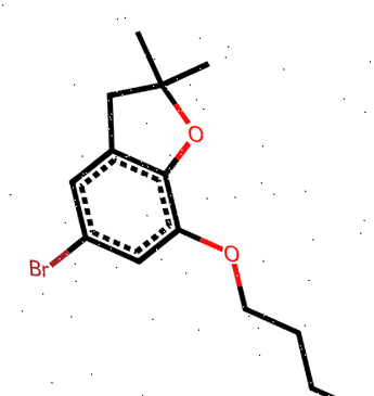 CC1(C)Cc2cc(Br)cc(OCCCBr)c2O1